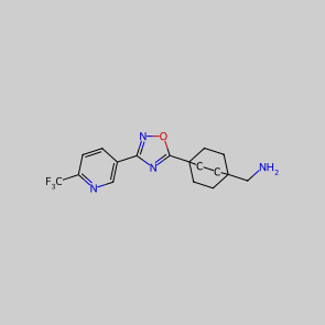 NCC12CCC(c3nc(-c4ccc(C(F)(F)F)nc4)no3)(CC1)CC2